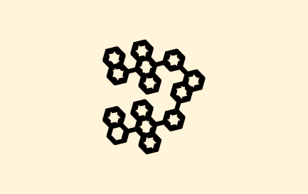 C1=C(c2c3ccccc3c(-c3cccc(-c4ccc5c(-c6cccc(-c7c8ccccc8c(-c8cccc9ccccc89)c8ccccc78)c6)cccc5c4)c3)c3ccccc23)c2ccccc2CC1